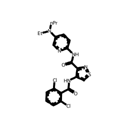 CCCN(CC)c1ccc(NC(=O)c2nscc2NC(=O)c2c(Cl)cccc2Cl)nc1